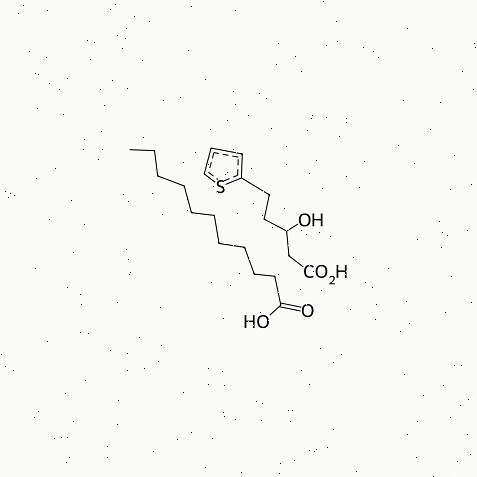 CCCCCCCCCCC(=O)O.O=C(O)CC(O)CCc1cccs1